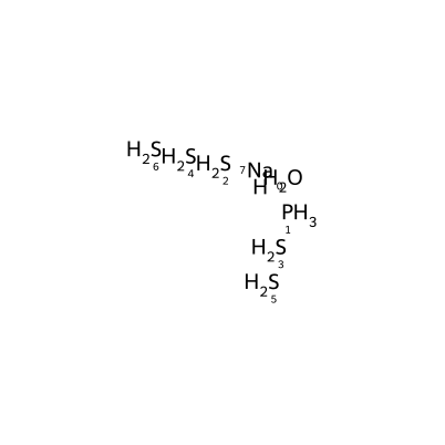 O.P.S.S.S.S.S.[NaH]